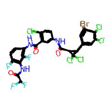 O=C(Nc1ccc(F)c(NC(=O)C(F)F)c1F)c1cc(NC(=O)C2C(c3cc(Cl)c(Cl)c(Br)c3)C2(Cl)Cl)ccc1Cl